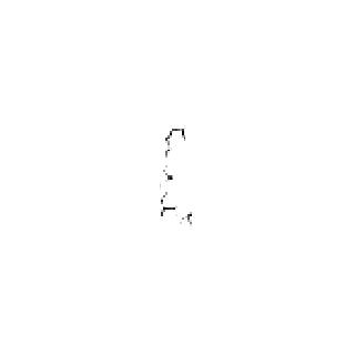 C=C(C)NC(=O)C(=C)CCNC(=O)CO/C=C/C=C(/Cl)C(=C)C